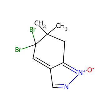 CC1(C)CC2=[N+]([O-])N=CC2=CC1(Br)Br